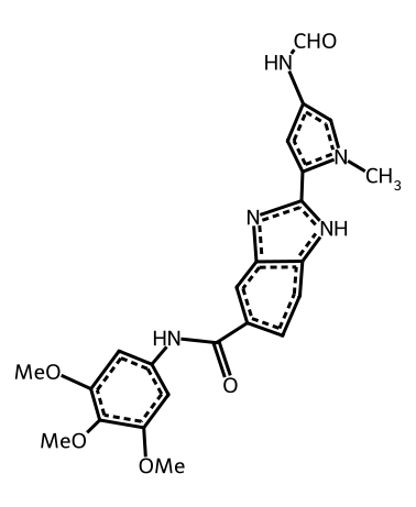 COc1cc(NC(=O)c2ccc3[nH]c(-c4cc(NC=O)cn4C)nc3c2)cc(OC)c1OC